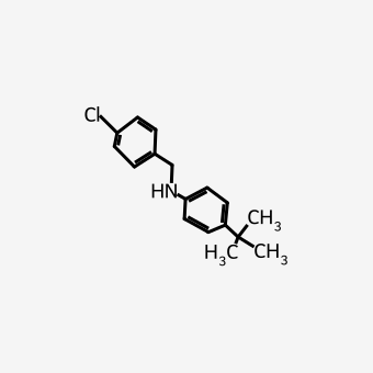 CC(C)(C)c1ccc(NCc2ccc(Cl)cc2)cc1